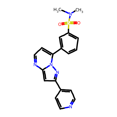 CN(C)S(=O)(=O)c1cccc(-c2ccnc3cc(-c4ccncc4)nn23)c1